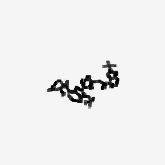 CN1CC[C@@H](Nc2cccc3c2cc(-c2noc(CNc4nccc5nn(C(C)(C)C)cc45)n2)n3CC(F)(F)F)[C@@H](F)C1